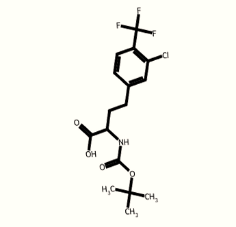 CC(C)(C)OC(=O)NC(CCc1ccc(C(F)(F)F)c(Cl)c1)C(=O)O